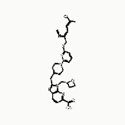 C=N/C(=C\C=C(/C)Cl)COc1cccc(N2CCC(Cc3nc4ccc(C(=O)O)nc4n3C[C@@H]3CCO3)CC2)n1